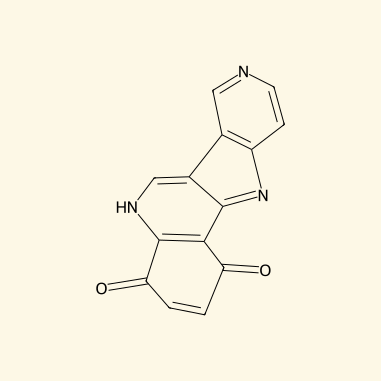 O=C1C=CC(=O)c2c3nc4ccncc4c-3c[nH]c21